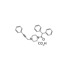 O=C(O)[C@@H]1CN(CC#Cc2ccccc2)CCN1C(=O)C(c1ccccc1)c1ccccc1